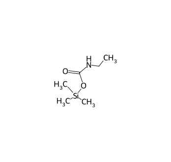 CCNC(=O)O[Si](C)(C)C